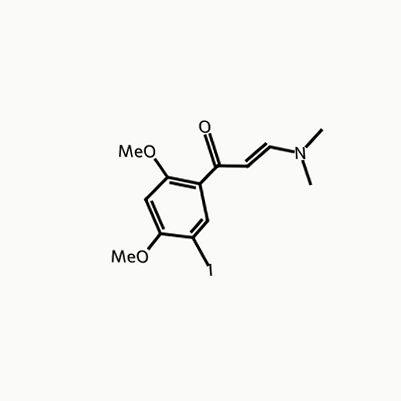 COc1cc(OC)c(C(=O)/C=C/N(C)C)cc1I